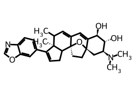 CC1C=C2C=C3[C@@H](O)[C@H](O)[C@@H](N(C)C)C[C@]34CC[C@]2(O4)C2CC=C(c3ccc4ncoc4c3)[C@@]12C